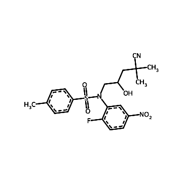 Cc1ccc(S(=O)(=O)N(CC(O)CC(C)(C)C#N)c2cc([N+](=O)[O-])ccc2F)cc1